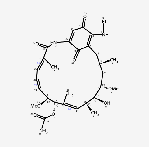 [CH2]CNC1=C2C[C@@H](C)C[C@H](OC)[C@@H](O)[C@@H](C)/C=C(\C)[C@H](OC(N)=O)[C@@H](OC)/C=C\C=C(/C)C(=O)NC(=CC1=O)C2=O